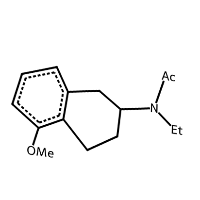 CCN(C(C)=O)C1CCc2c(cccc2OC)C1